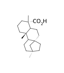 C[C@@]12CCC3[C@@](CCC4[C@@]3(C)CCC[C@]4(C)C(=O)O)(CC1)C2